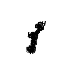 O=C(O)c1cncc(OCc2nc3nc(N4CCC(Oc5ccccc5C(F)(F)F)CC4)sc3c(=O)[nH]2)c1